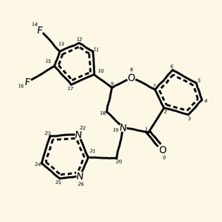 O=C1c2ccccc2OC(c2ccc(F)c(F)c2)CN1Cc1ncccn1